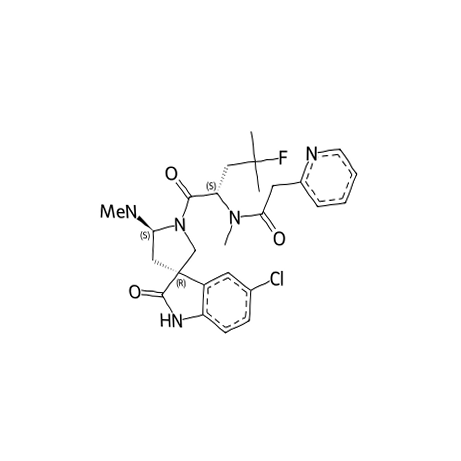 CN[C@@H]1C[C@@]2(CN1C(=O)[C@H](CC(C)(C)F)N(C)C(=O)Cc1ccccn1)C(=O)Nc1ccc(Cl)cc12